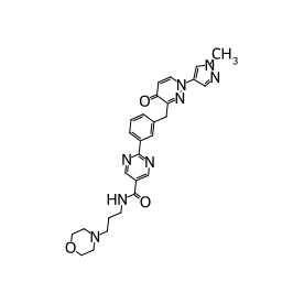 Cn1cc(-n2ccc(=O)c(Cc3cccc(-c4ncc(C(=O)NCCCN5CCOCC5)cn4)c3)n2)cn1